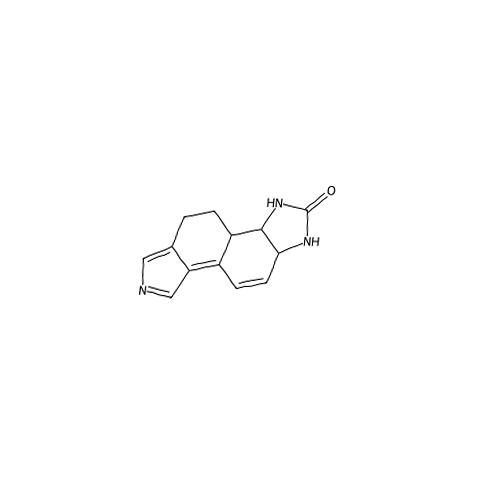 O=C1NC2C=CC3=C4C=NC=C4CCC3C2N1